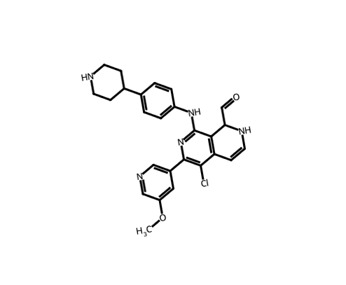 COc1cncc(-c2nc(Nc3ccc(C4CCNCC4)cc3)c3c(c2Cl)C=CNC3C=O)c1